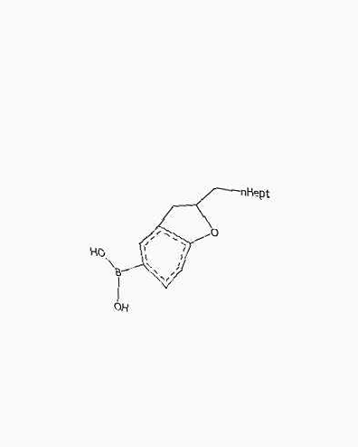 CCCCCCCCC1Cc2cc(B(O)O)ccc2O1